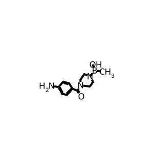 CB(O)N1CCN(C(=O)c2ccc(N)cc2)CC1